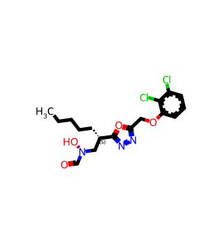 CCCCC[C@@H](CN(O)C=O)c1nnc(COc2cccc(Cl)c2Cl)o1